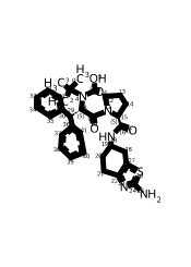 CC(C)(C)N(C(=O)O)[C@H](C(=O)N1CCC[C@H]1C(=O)NC1CCc2nc(N)sc2C1)C(c1ccccc1)c1ccccc1